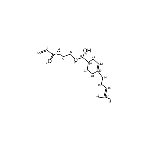 C=CC(=O)OCCOC(O)C1CC=C(CCC=C(C)C)CC1